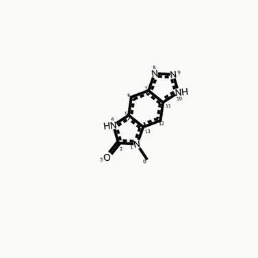 Cn1c(=O)[nH]c2cc3nn[nH]c3cc21